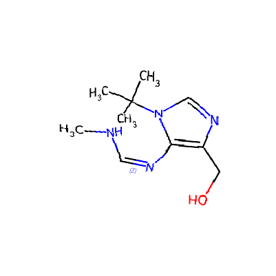 CN/C=N\c1c(CO)ncn1C(C)(C)C